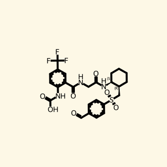 O=Cc1ccc(S(=O)(=O)C[C@@H]2CCCC[C@@H]2NC(=O)CNC(=O)c2cc(C(F)(F)F)ccc2NC(=O)O)cc1